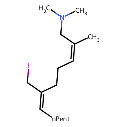 CCCCC/C=C(/CI)CC/C=C(/C)CN(C)C